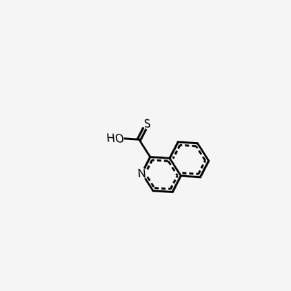 OC(=S)c1nccc2ccccc12